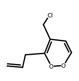 C=CCC1=C(CCl)C=COO1